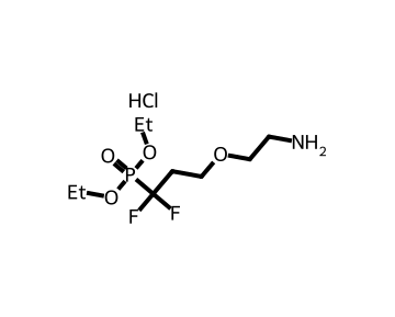 CCOP(=O)(OCC)C(F)(F)CCOCCN.Cl